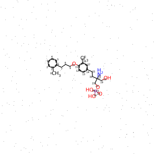 Cc1ccccc1CCCOc1ccc(CCC(N)(CO)COP(=O)(O)O)cc1C(F)(F)F